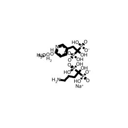 NCCCC(O)(P(=O)([O-])O)P(=O)(O)O.O.O.O.O=P([O-])(O)C(O)(Cc1cccnc1)P(=O)(O)O.[Na+].[Na+]